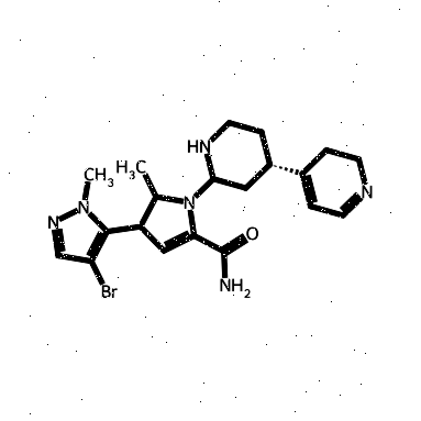 CC1C(c2c(Br)cnn2C)C=C(C(N)=O)N1C1C[C@@H](C2=CC=NCC2)CCN1